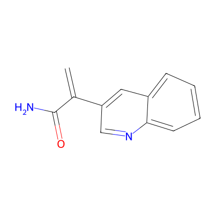 C=C(C(N)=O)c1cnc2ccccc2c1